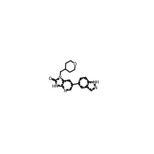 O=c1[nH]c2ncc(-c3ccc4[nH]ncc4c3)cc2n1CC1CCOCC1